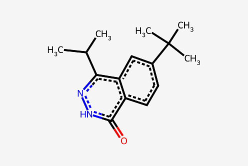 CC(C)c1n[nH]c(=O)c2ccc(C(C)(C)C)cc12